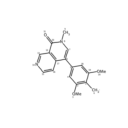 [CH2]c1c(OC)cc(-c2cn(C)c(=O)c3cnccc23)cc1OC